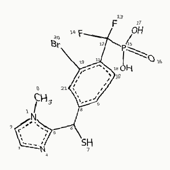 Cn1ccnc1C(S)c1ccc(C(F)(F)P(=O)(O)O)c(Br)c1